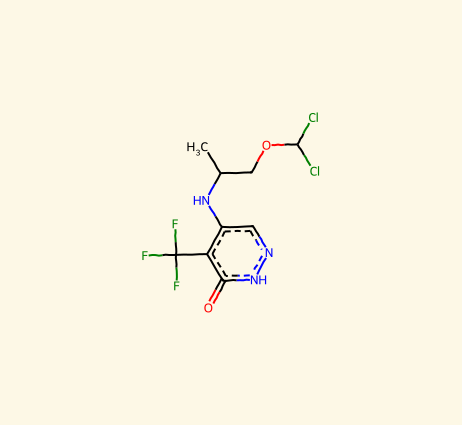 CC(COC(Cl)Cl)Nc1cn[nH]c(=O)c1C(F)(F)F